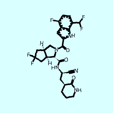 N#C[C@@H](C[C@@H]1CCCNC1=O)NC(=O)[C@@H]1[C@H]2CC(F)(F)C[C@H]2CN1C(=O)c1cc2c(F)ccc(C(F)F)c2[nH]1